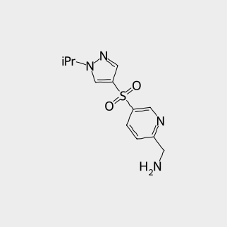 CC(C)n1cc(S(=O)(=O)c2ccc(CN)nc2)cn1